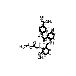 CCOC(=O)CNc1c(CNc2ccc(Cl)cc2C(=O)Nc2ccc(/C(N)=N/O)cc2)cccc1OC